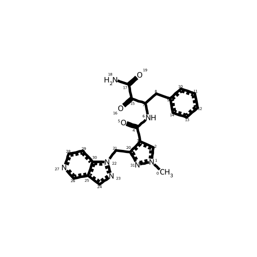 Cn1cc(C(=O)NC(Cc2ccccc2)C(=O)C(N)=O)c(Cn2ncc3cnccc32)n1